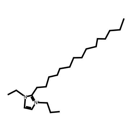 CCCCCCCCCCCCCCCc1n(CC)cc[n+]1CCC